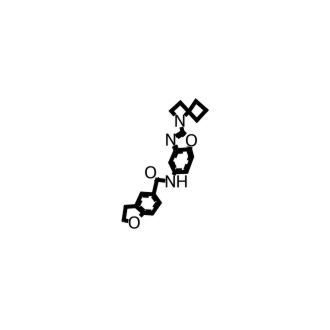 O=C(Nc1ccc2oc(N3CCC34CCC4)nc2c1)c1ccc2c(c1)CCO2